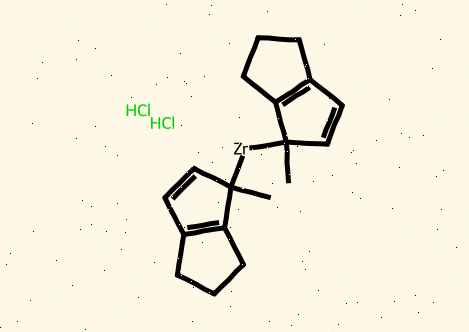 C[C]1([Zr][C]2(C)C=CC3=C2CCC3)C=CC2=C1CCC2.Cl.Cl